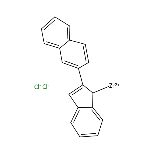 [Cl-].[Cl-].[Zr+2][CH]1C(c2ccc3ccccc3c2)=Cc2ccccc21